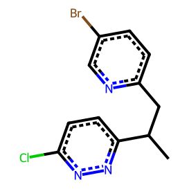 CC(Cc1ccc(Br)cn1)c1ccc(Cl)nn1